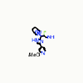 COc1cc(-c2c[nH]c(/C(=C(/F)C=N)N3CC4CCC(C3)N4)n2)ccn1